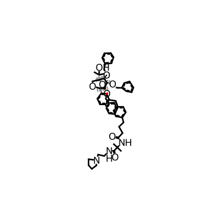 Cc1ccc([C@]23OC[C@](C(C)(C)O)(O2)[C@@H](OCc2ccccc2)[C@H](OCc2ccccc2)[C@H]3OCc2ccccc2)cc1Cc1ccc(CCCC(=O)NC(C)(C)C(=O)NCCN2CCCC2)cc1